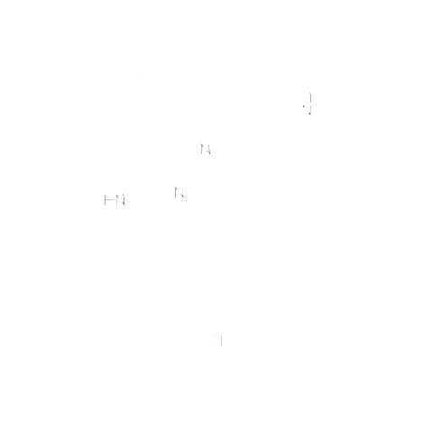 Clc1ccc2[nH]c(C3(c4ccc5c(n4)CCCN5)CCC3)nc2c1